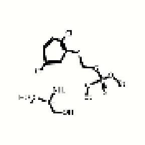 CCOP(=S)(OCC)SCSc1cc(Cl)ccc1Cl.N[C@@H](CO)C(=O)O